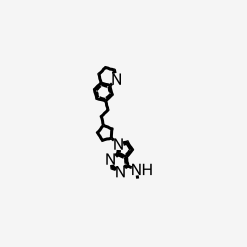 CNc1ncnc2c1ccn2C1CCC(CCc2ccc3c(c2)N=CCC3)C1